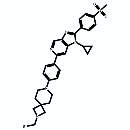 CC(C)CN1CC2(CCN(c3ccc(-c4cc5c(cn4)nc(-c4ccc(S(C)(=O)=O)cc4)n5C4CC4)cc3)CC2)C1